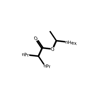 CCCCCCC(C)OC(=O)C(CCC)CCC